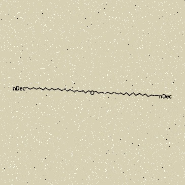 CCCCCCCCCCCCCCCCCCCCCCCCCCCCCCCOCCCCCCCCCCCCCCCCCCCCCCCCCCCCCCC